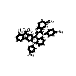 CC(C)(C)c1ccc(N2c3cc4c(cc3B3c5sc6c(c5N(c5ccc(C(C)(C)C)cc5)c5cccc2c53)=CC(C(C)(C)C)CC=6)C(C)(C)c2ccccc2-4)cc1